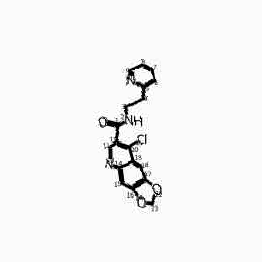 O=C(NCCc1ccccn1)c1cnc2cc3c(cc2c1Cl)OCO3